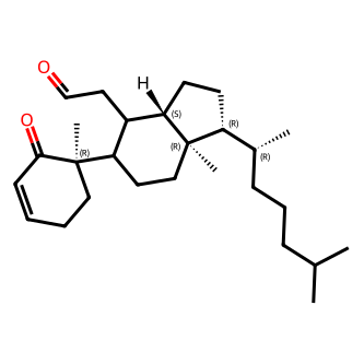 CC(C)CCC[C@@H](C)[C@H]1CC[C@H]2C(CC=O)C([C@@]3(C)CCC=CC3=O)CC[C@]12C